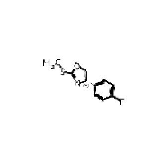 CSC1=N[C@@H](c2ccc(F)cc2)CO1